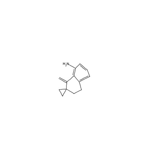 C=C1c2c(N)cccc2CCC12CC2